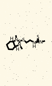 CNC(=S)NCCSP1N(C)[C@@H]2CCCC[C@H]2N1C